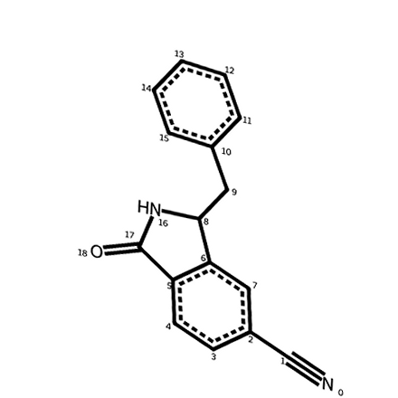 N#Cc1ccc2c(c1)C(Cc1ccccc1)NC2=O